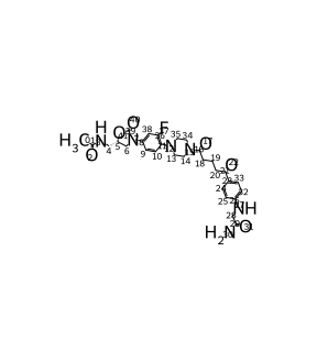 CC(=O)NC[C@H]1CN(c2ccc(N3CCN(C(=O)CCCC(=O)c4ccc(NCC(N)=O)cc4)CC3)c(F)c2)C(=O)O1